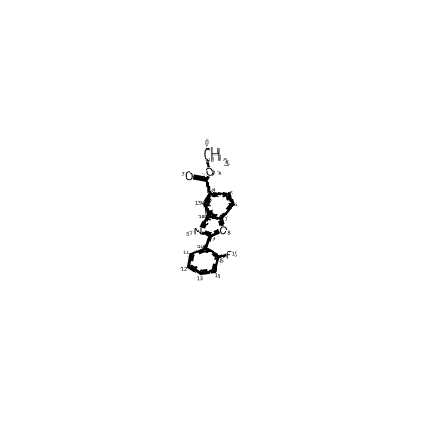 COC(=O)c1ccc2oc(-c3ccccc3F)nc2c1